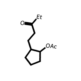 CCC(=O)CCC1CCCC1OC(C)=O